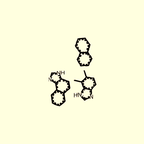 Cc1ccc2nc[nH]c2c1C.c1ccc2c(c1)ccc1[nH]cnc12.c1ccc2ccccc2c1